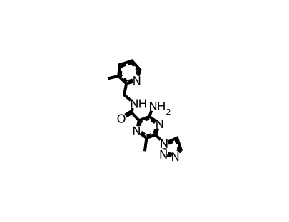 Cc1cccnc1CNC(=O)c1nc(C)c(-n2ccnn2)nc1N